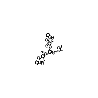 CCC(=O)C(C)CCCCN(C)c1cc(COc2cc3c(cc2OC)C(=O)N2c4ccccc4C[C@H]2C=N3)cc(COc2cc3c(cc2OC)C(=O)N2c4ccccc4C[C@H]2CN3C)c1